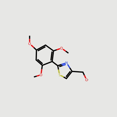 COc1cc(OC)c(-c2nc(C[O])cs2)c(OC)c1